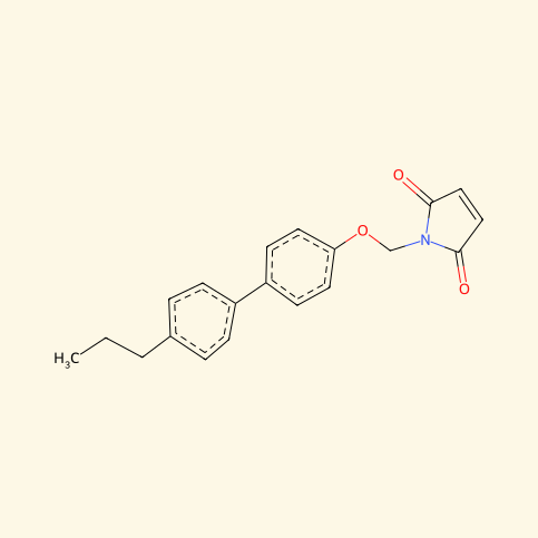 CCCc1ccc(-c2ccc(OCN3C(=O)C=CC3=O)cc2)cc1